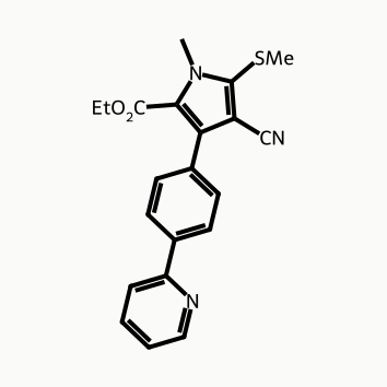 CCOC(=O)c1c(-c2ccc(-c3ccccn3)cc2)c(C#N)c(SC)n1C